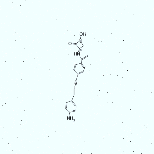 C=C(N[C@@H]1CN(O)C1=O)c1ccc(C#CC#Cc2ccc(N)cc2)cc1